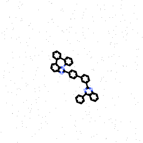 c1ccc(-c2nc(-c3cccc(-c4ccc(-c5nc6cccc7c6n5-c5ccccc5-c5ccccc5-7)cc4)c3)nc3ccccc23)cc1